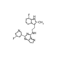 Cc1[nH]c2c(F)cccc2c1CCNc1nc(-c2cncc(F)c2)nc2ccnn12